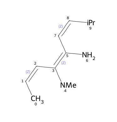 C\C=C/C(NC)=C(N)\C=C/C(C)C